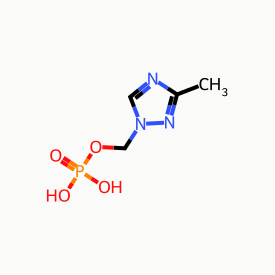 Cc1ncn(COP(=O)(O)O)n1